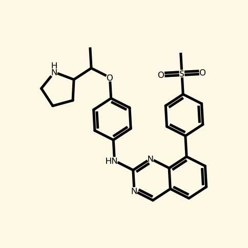 CC(Oc1ccc(Nc2ncc3cccc(-c4ccc(S(C)(=O)=O)cc4)c3n2)cc1)C1CCCN1